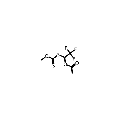 COC(=S)SC(OC(C)=O)C(F)(F)F